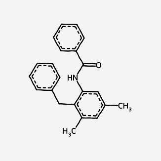 Cc1cc(C)c(Cc2ccccc2)c(NC(=O)c2ccccc2)c1